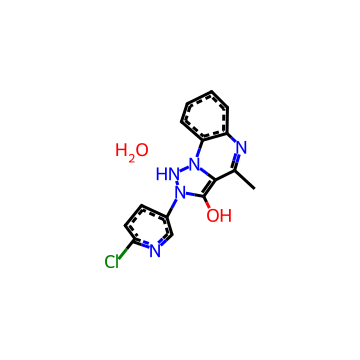 CC1=Nc2ccccc2N2NN(c3ccc(Cl)nc3)C(O)=C12.O